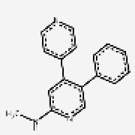 CNc1cc(-c2ccncc2)c(-c2ccccc2)cn1